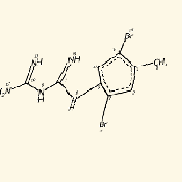 Cc1cc(Br)c(NC(=N)NC(=N)N)cc1Br